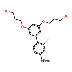 CCCCCc1ccc(-c2cc(OCCCO)cc(OCCCO)c2)c(F)c1